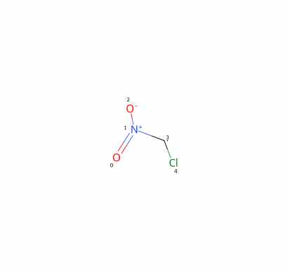 O=[N+]([O-])[CH]Cl